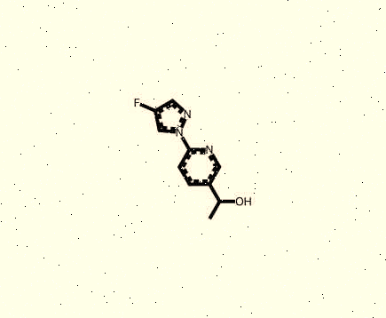 CC(O)c1ccc(-n2cc(F)cn2)nc1